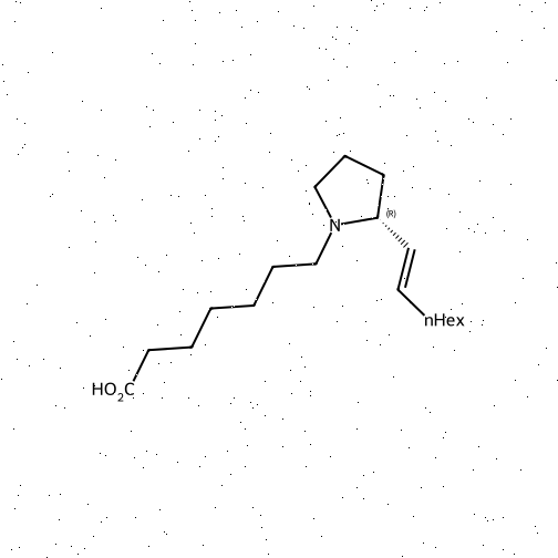 CCCCCCC=C[C@H]1CCCN1CCCCCCC(=O)O